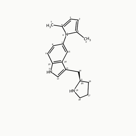 Cc1ccc(C)n1-c1ccc2[nH]cc(C[C@H]3CCCN3)c2c1